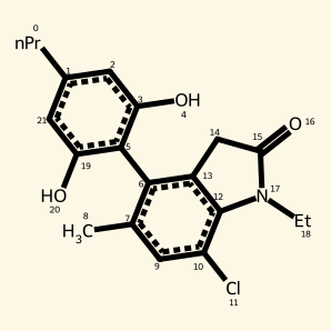 CCCc1cc(O)c(-c2c(C)cc(Cl)c3c2CC(=O)N3CC)c(O)c1